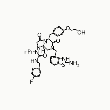 CCCN(C(=O)NCc1ccc(F)cc1)N1CC(=O)N2[C@@H](Cc3ccc(OCCO)cc3)C(=O)N(Cc3cccc4c3NC(N)S4)C[C@@H]21